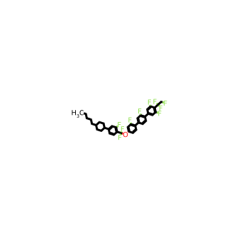 CCCCCC1CCC(c2ccc(C(F)(F)Oc3ccc(-c4ccc(-c5cc(F)c(C(F)(F)CF)c(F)c5)c(F)c4)c(F)c3)c(F)c2)CC1